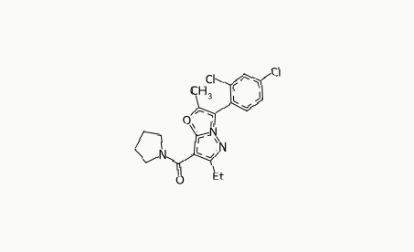 CCc1nn2c(-c3ccc(Cl)cc3Cl)c(C)oc2c1C(=O)N1CCCC1